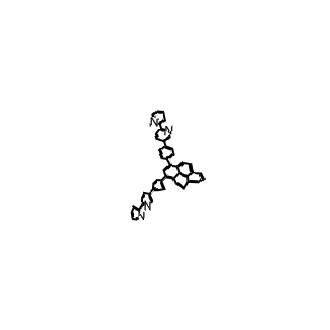 c1ccc(-c2ccc(-c3ccc(-c4cc(-c5ccc(-c6ccc(-c7ccccn7)nc6)cc5)c5ccc6cccc7ccc4c5c76)cc3)cn2)nc1